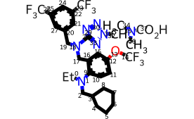 CCN(CC1CCCCC1)c1ccc(OC(F)(F)F)cc1CN(Cc1cc(C(F)(F)F)cc(C(F)(F)F)c1)c1nnn(C)n1.CN(C)C(=O)O